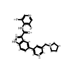 O=C(Nc1c(F)cncc1F)c1n[nH]c2ccc(-c3cncc(CN4CCCC4)c3)cc12